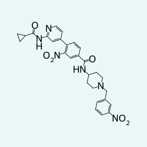 O=C(NC1CCN(Cc2cccc([N+](=O)[O-])c2)CC1)c1ccc(-c2ccnc(NC(=O)C3CC3)c2)c([N+](=O)[O-])c1